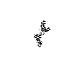 c1ccc(C2N=C(c3ccc4sc5ccccc5c4c3)NC(c3ccc(-c4ccc5c(c4)c4ccccc4c4nc6cc7c(cn6c54)oc4ccccc47)cc3)N2)cc1